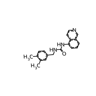 Cc1ccc(CNC(=O)Nc2cccc3cnccc23)cc1C